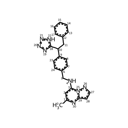 Cc1cc(NCc2ccc(C(Cc3ccccc3)c3nnn[nH]3)cc2)n2nccc2n1